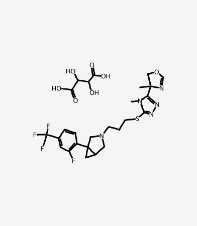 Cn1c(SCCCN2CC3CC3(c3ccc(C(F)(F)F)cc3F)C2)nnc1C1(C)COC=N1.O=C(O)C(O)C(O)C(=O)O